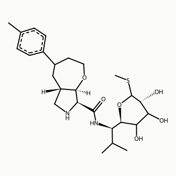 CSC1O[C@H]([C@H](NC(=O)[C@H]2NC[C@@H]3CC(c4ccc(C)cc4)CCO[C@H]32)C(C)C)C(O)C(O)[C@H]1O